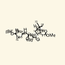 COC(=O)C[C@@H]1[C@@H]2[C@H](CN1C(=O)[C@@H](NC(=O)N[C@H](CN(C)C(=O)OC(C)(C)C)C(C)(C)C)C(C)(C)C)C2(C)C